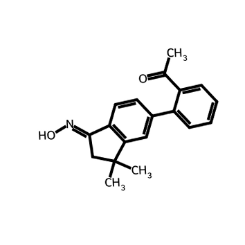 CC(=O)c1ccccc1-c1ccc2c(c1)C(C)(C)CC2=NO